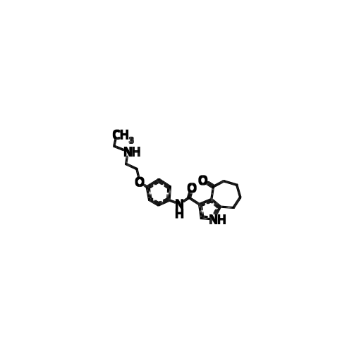 CCNCCOc1ccc(NC(=O)c2c[nH]c3c2C(=O)CCCC3)cc1